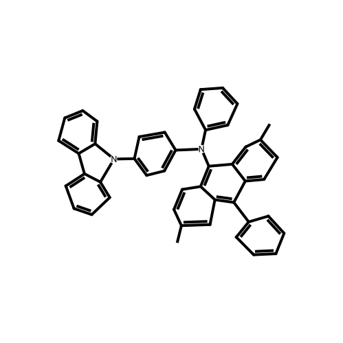 Cc1ccc2c(N(c3ccccc3)c3ccc(-n4c5ccccc5c5ccccc54)cc3)c3cc(C)ccc3c(-c3ccccc3)c2c1